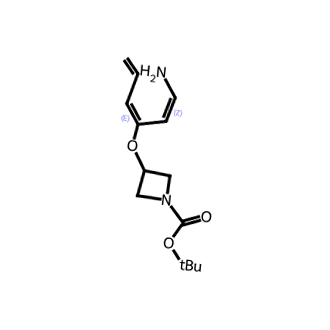 C=C/C=C(\C=C/N)OC1CN(C(=O)OC(C)(C)C)C1